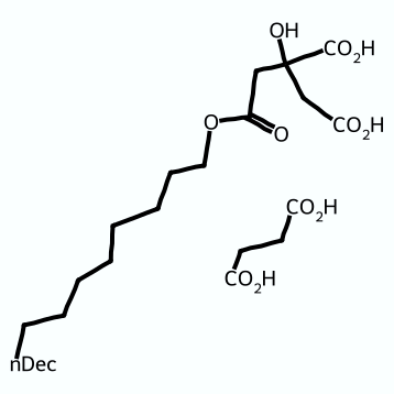 CCCCCCCCCCCCCCCCCCOC(=O)CC(O)(CC(=O)O)C(=O)O.O=C(O)CCC(=O)O